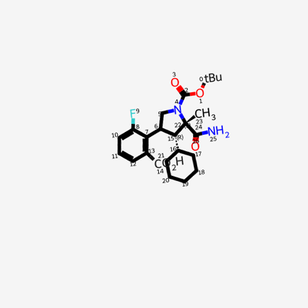 CC(C)(C)OC(=O)N1CC(c2c(F)cccc2C(=O)O)[C@@H](C2CCCCC2)[C@@]1(C)C(N)=O